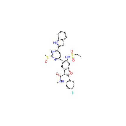 CCS(=O)(=O)Nc1cc2oc(-c3ccc(F)cc3)c(C(=O)NC)c2cc1-c1cc(-c2cc3ccccc3[nH]2)nc([S+](C)[O-])n1